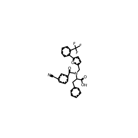 N#Cc1cccc(C(=O)N(Cc2ccc(-c3ccccc3C(F)(F)F)o2)C(Cc2ccccc2)C(=O)O)c1